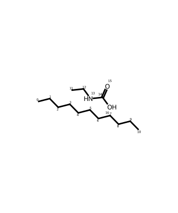 CCCCCCCCCCC.CCNC(=O)O